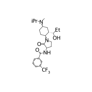 CCC(O)[C@H]1C[C@H](N(C)C(C)C)CC[C@@H]1N1CCC(NC(=O)c2cccc(C(F)(F)F)c2)C1=O